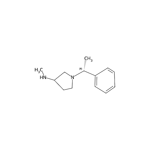 CNC1CCN([C@H](C)c2ccccc2)C1